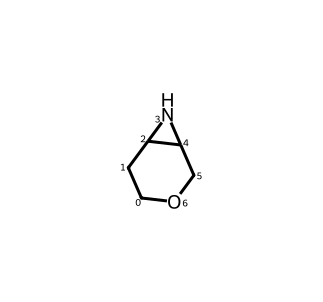 C1CC2NC2CO1